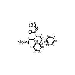 CC(C)(C)OC(=O)N(CCN=[N+]=[N-])CC(c1ccccc1)c1ccccc1